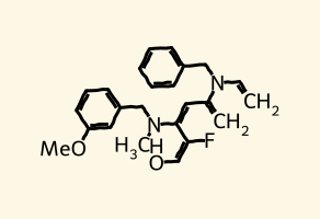 C=CN(Cc1ccccc1)C(=C)/C=C(\C(F)=C/O)N(C)Cc1cccc(OC)c1